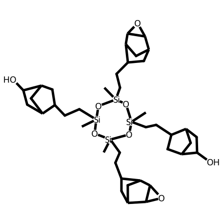 C[Si]1(CCC2CC3CC2CC3O)O[Si](C)(CCC2CC3CC2C2OC32)O[Si](C)(CCC2CC3CC2CC3O)O[Si](C)(CCC2CC3CC2C2OC32)O1